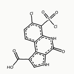 O=C(O)c1c[nH]c2c(=O)[nH]c3c(S(=O)(=O)Cl)c(Cl)ccc3c12